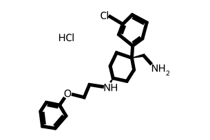 Cl.NC[C@]1(c2cccc(Cl)c2)CC[C@@H](NCCOc2ccccc2)CC1